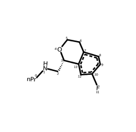 CCCNC[C@@H]1OCCc2ccc(F)cc21